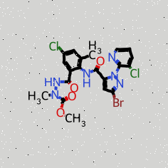 COC(=O)N(C)NC(=O)c1cc(Cl)cc(C)c1NC(=O)c1cc(Br)nn1-c1ncccc1Cl